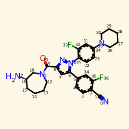 N#Cc1ccc(-c2cc(C(=O)N3CCCC[C@@H](N)C3)nn2-c2ccc(N3CCCCC3)cc2F)cc1F